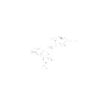 N#Cc1ccc(N2CCN(C[C@](O)(I)c3cnc(C(=O)O)cn3)C[C@H]2c2ccc(Cl)cc2)c(Cl)c1